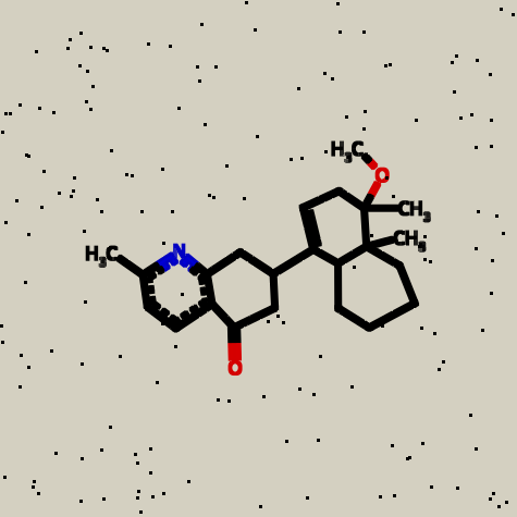 COC1(C)CC=C(C2CC(=O)c3ccc(C)nc3C2)C2CCCCC21C